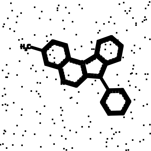 Cc1ccc2c(c1)ncc1c(-c3ccccc3)c3ccccc3n12